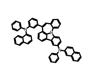 C1=C(c2cccc(N(c3ccccc3)c3cccc4ccccc34)c2)c2cccc3c4cc(N(c5ccccc5)c5ccc6ccccc6c5)ccc4n(c23)-c2ccccc21